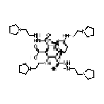 N=C(NNCCN1CCCC1)c1c(NCCN2CCCC2)c(C(=O)O)c(C(=O)NNCCN2CCCC2)c2c3c(NCCN4CCCC4)cc(c(=O)[nH]c3=O)c12